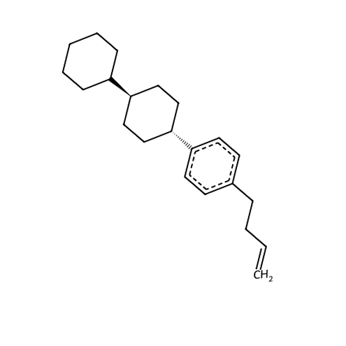 C=CCCc1ccc([C@H]2CC[C@H](C3CCCCC3)CC2)cc1